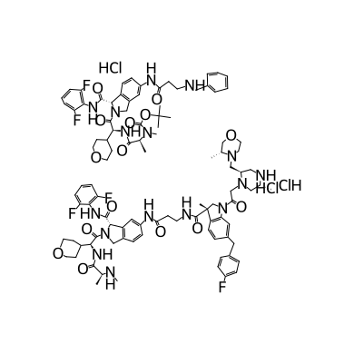 CN[C@@H](C)C(=O)N[C@H](C(=O)N1Cc2ccc(NC(=O)CCNC(=O)[C@]3(C)CN(C(=O)CN4C[C@@H](C)NC[C@@H]4CN4CCOC[C@H]4C)c4cc(Cc5ccc(F)cc5)ccc43)cc2[C@H]1C(=O)Nc1c(F)cccc1F)C1CCOCC1.C[C@@H](C(=O)N[C@H](C(=O)N1Cc2cc(NC(=O)CCNCc3ccccc3)ccc2[C@H]1C(=O)Nc1c(F)cccc1F)C1CCOCC1)N(C)C(=O)OC(C)(C)C.Cl.Cl.Cl